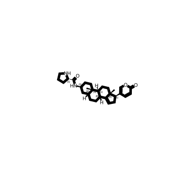 C[C@]12CC[C@H](NC(=O)[C@@H]3CCCN3)C[C@H]1CC[C@H]1C3=CC[C@H](c4ccc(=O)oc4)[C@@]3(C)CC[C@@H]12